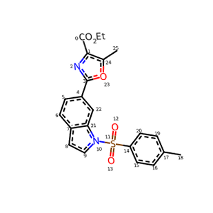 CCOC(=O)c1nc(-c2ccc3ccn(S(=O)(=O)c4ccc(C)cc4)c3c2)oc1C